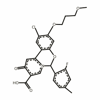 COCCCOc1cc2c(cc1Cl)-c1cc(=O)c(C(=O)O)cn1C(c1ccc(C)cc1F)O2